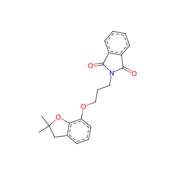 CC1(C)Cc2cccc(OCCCN3C(=O)c4ccccc4C3=O)c2O1